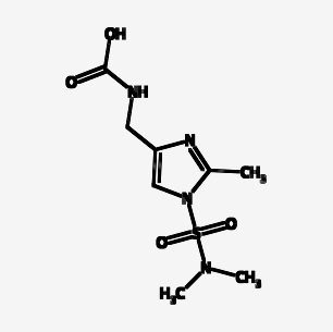 Cc1nc(CNC(=O)O)cn1S(=O)(=O)N(C)C